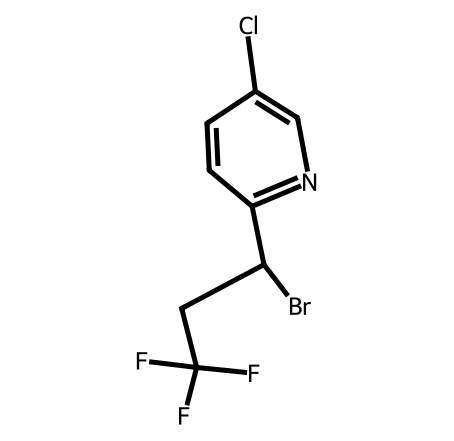 FC(F)(F)CC(Br)c1ccc(Cl)cn1